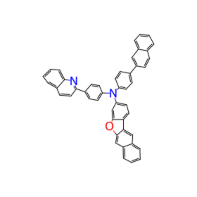 c1ccc2cc(-c3ccc(N(c4ccc(-c5ccc6ccccc6n5)cc4)c4ccc5c(c4)oc4cc6ccccc6cc45)cc3)ccc2c1